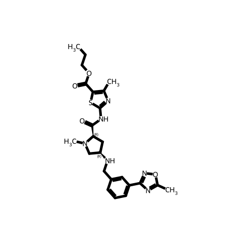 CCCOC(=O)c1sc(NC(=O)[C@H]2C[C@@H](NCc3cccc(-c4noc(C)n4)c3)CN2C)nc1C